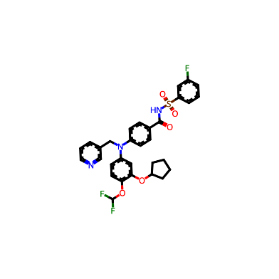 O=C(NS(=O)(=O)c1cccc(F)c1)c1ccc(N(Cc2cccnc2)c2ccc(OC(F)F)c(OC3CCCC3)c2)cc1